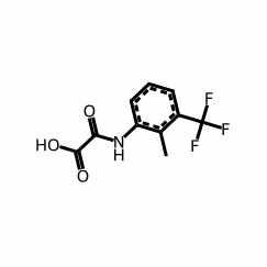 Cc1c(NC(=O)C(=O)O)cccc1C(F)(F)F